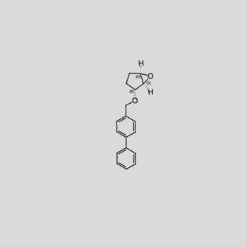 c1ccc(-c2ccc(CO[C@@H]3CC[C@H]4O[C@@H]34)cc2)cc1